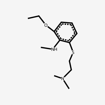 CCOc1cccc(SCCN(C)C)c1NC